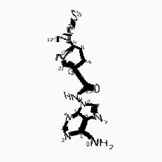 Nc1ncnc2c1ncn2NC(=O)c1ccc(N=C=S)nc1